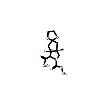 COC(=O)C1[C@@H]2CC3(C[C@@H]2CN1C(=O)OC(C)(C)C)OCCO3